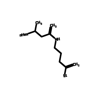 C=C(CC)CCCNC(=C)CC(C)CCCCCC